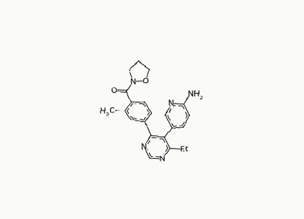 CCc1ncnc(-c2ccc(C(=O)N3CCCO3)c(C)c2)c1-c1ccc(N)nc1